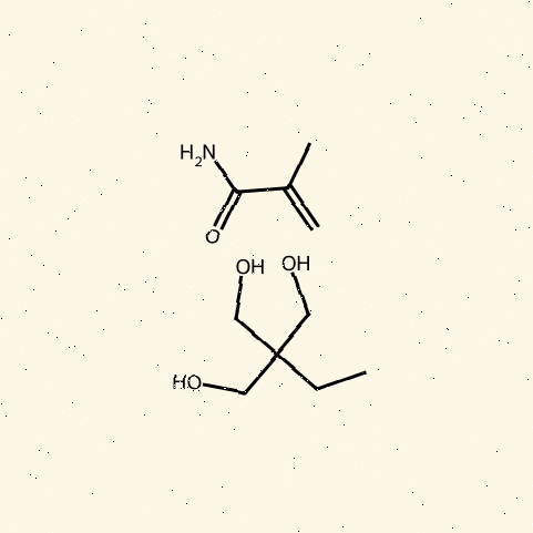 C=C(C)C(N)=O.CCC(CO)(CO)CO